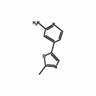 Cc1ncc(-c2ccnc(N)c2)o1